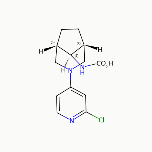 O=C(O)N[C@@H]1[C@@H]2CC[C@H]1CN(c1ccnc(Cl)c1)C2